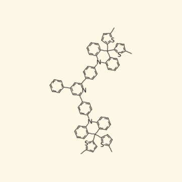 Cc1ccc(C2(c3ccc(C)s3)c3ccccc3N(c3ccc(-c4cc(-c5ccccc5)cc(-c5ccc(N6c7ccccc7C(c7ccc(C)s7)(c7ccc(C)s7)c7ccccc76)cc5)n4)cc3)c3ccccc32)s1